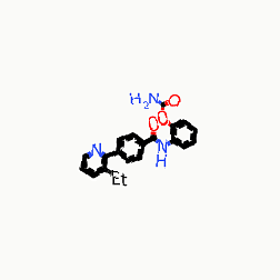 CCc1cccnc1-c1ccc(C(=O)Nc2ccccc2OC(N)=O)cc1